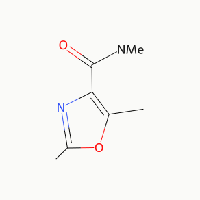 CNC(=O)c1nc(C)oc1C